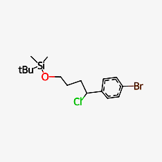 CC(C)(C)[Si](C)(C)OCCCC(Cl)c1ccc(Br)cc1